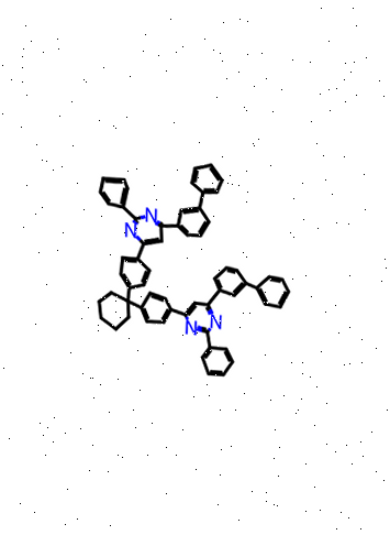 c1ccc(-c2cccc(-c3cc(-c4ccc(C5(c6ccc(-c7cc(-c8cccc(-c9ccccc9)c8)nc(-c8ccccc8)n7)cc6)CCCCC5)cc4)nc(-c4ccccc4)n3)c2)cc1